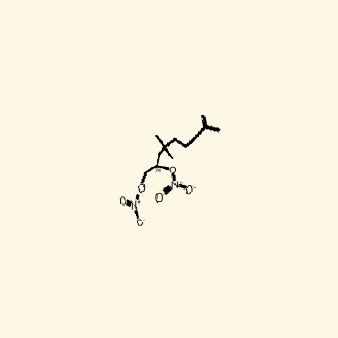 CC(C)CCC(C)(C)C[C@H](CO[N+](=O)[O-])O[N+](=O)[O-]